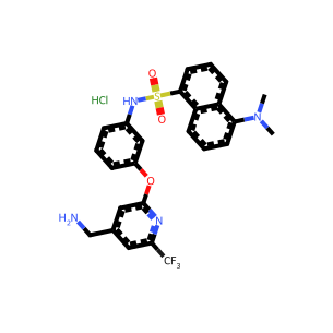 CN(C)c1cccc2c(S(=O)(=O)Nc3cccc(Oc4cc(CN)cc(C(F)(F)F)n4)c3)cccc12.Cl